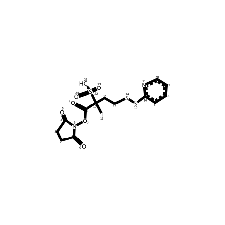 O=C1CCC(=O)N1OC(=O)C(I)(CCSSc1ccccn1)S(=O)(=O)O